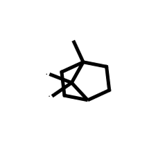 [CH2]C1([CH2])C2CCC1(C)CC2